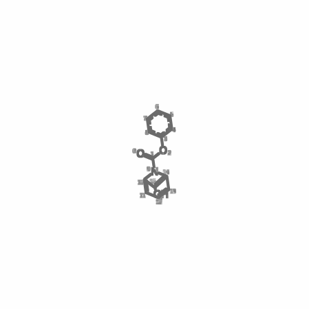 O=C(Oc1ccccc1)N1C2=CC=CC1=C2O